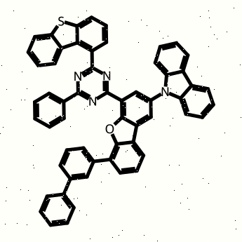 c1ccc(-c2cccc(-c3cccc4c3oc3c(-c5nc(-c6ccccc6)nc(-c6cccc7sc8ccccc8c67)n5)cc(-n5c6ccccc6c6ccccc65)cc34)c2)cc1